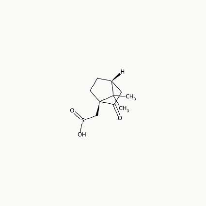 CC1(C)[C@@H]2CC[C@@]1(CS(=O)O)C(=O)C2